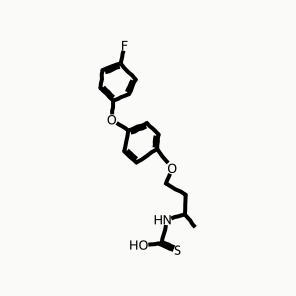 CC(CCOc1ccc(Oc2ccc(F)cc2)cc1)NC(O)=S